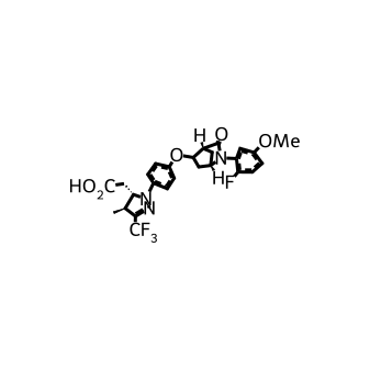 COc1ccc(F)c(N2C(=O)[C@@H]3C[C@H]2CC3Oc2ccc(N3N=C(C(F)(F)F)[C@@H](C)[C@@H]3CC(=O)O)cc2)c1